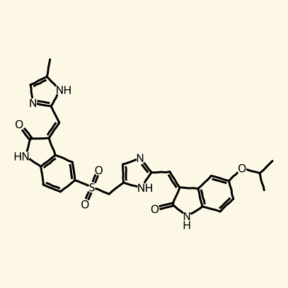 Cc1cnc(/C=C2\C(=O)Nc3ccc(S(=O)(=O)Cc4cnc(/C=C5\C(=O)Nc6ccc(OC(C)C)cc65)[nH]4)cc32)[nH]1